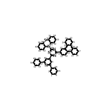 c1ccc(-c2cc(-c3nc(-c4ccc5c6ccccc6c6ccccc6c5c4)nc(N4c5ccccc5Sc5ccccc54)n3)cc(-c3ccccc3)n2)cc1